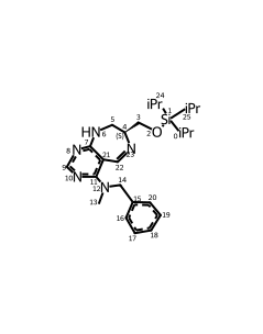 CC(C)[Si](OC[C@@H]1CNc2ncnc(N(C)Cc3ccccc3)c2C=N1)(C(C)C)C(C)C